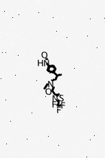 CC(CCN1CCOC(c2csc(C(F)(F)F)n2)C1)c1ccc(NC=O)cc1